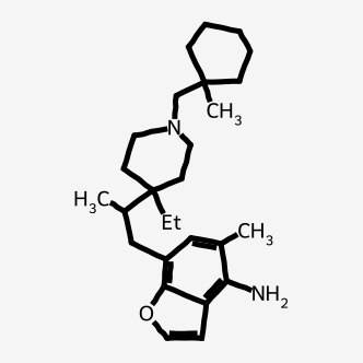 CCC1(C(C)Cc2cc(C)c(N)c3ccoc23)CCN(CC2(C)CCCCC2)CC1